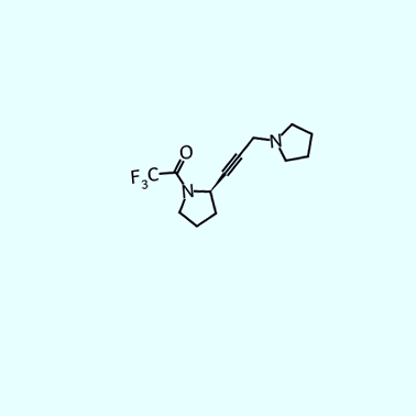 O=C(N1CCC[C@@H]1C#CCN1CCCC1)C(F)(F)F